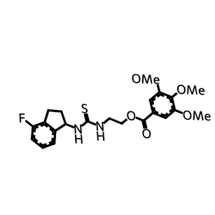 COc1cc(C(=O)OCCNC(=S)NC2CCc3c(F)cccc32)cc(OC)c1OC